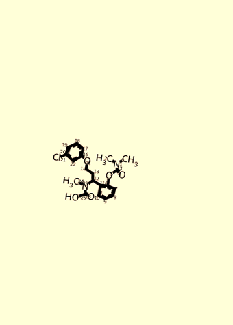 CN(C)C(=O)Oc1ccccc1C(CCOc1cccc(Cl)c1)N(C)C(=O)O